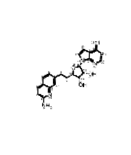 Nc1ccc2ccc(CC[C@H]3O[C@@H](n4ccc5c(Cl)ncnc54)[C@H](O)[C@@H]3O)cc2n1